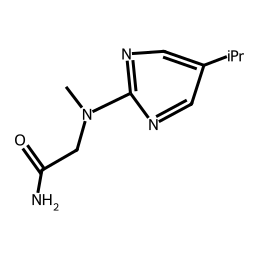 CC(C)c1cnc(N(C)CC(N)=O)nc1